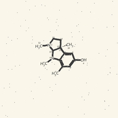 Cc1cc(O)cc2c1N(C)C1N(C)CC[C@@]21C